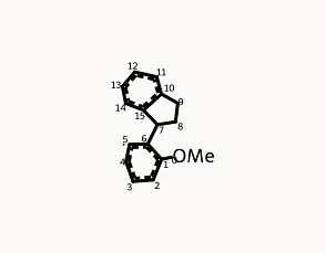 COc1ccc[c]c1C1CCc2ccccc21